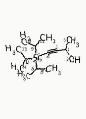 CC(O)C#C[Si](C(C)C)(C(C)C)C(C)C